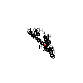 CC(C)Oc1ccccc1[C@H]1CN(C2CCOCC2)CCN1C1CC2(CCN(c3ccc(C(=O)NS(=O)(=O)c4ccc(NCC5CCOCC5)c([N+](=O)[O-])c4)c(N4c5cc6cc[nH]c6nc5O[C@H]5COCC[C@@H]54)c3)CC2)C1